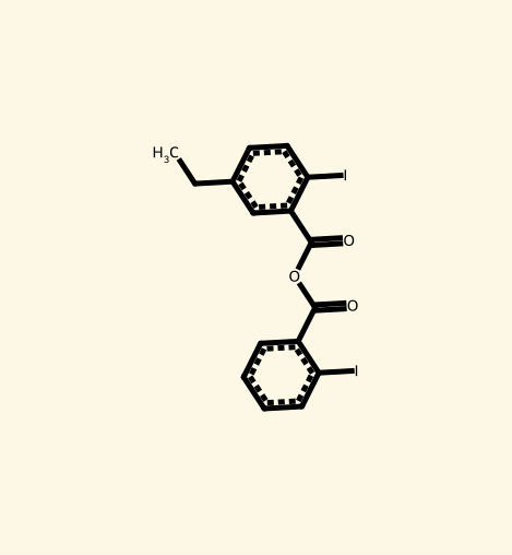 CCc1ccc(I)c(C(=O)OC(=O)c2ccccc2I)c1